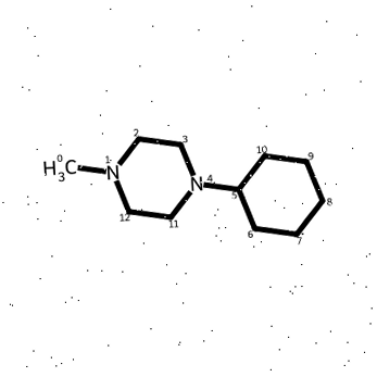 CN1CCN(C2C[CH]CCC2)CC1